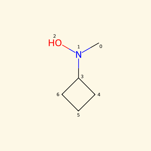 CN(O)C1CCC1